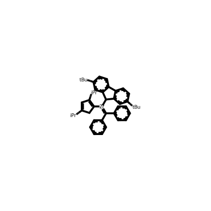 CC(C)C1=CC(C(C)C)=[C]([Zr](=[C](c2ccccc2)c2ccccc2)[CH]2c3cc(C(C)(C)C)ccc3-c3ccc(C(C)(C)C)cc32)C1